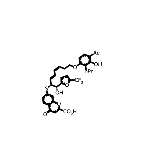 CCCc1c(OCC/C=C\C=C\[C@H](Sc2ccc3c(=O)cc(C(=O)O)oc3c2)[C@H](O)c2ccc(C(F)(F)F)o2)ccc(C(C)=O)c1O